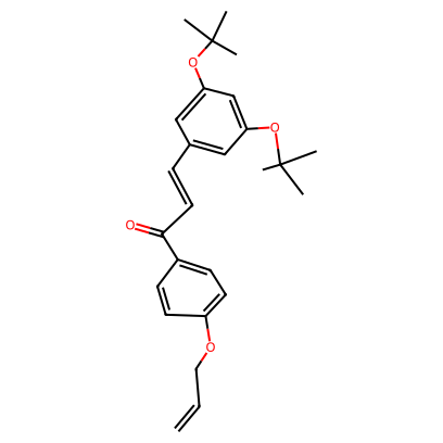 C=CCOc1ccc(C(=O)C=Cc2cc(OC(C)(C)C)cc(OC(C)(C)C)c2)cc1